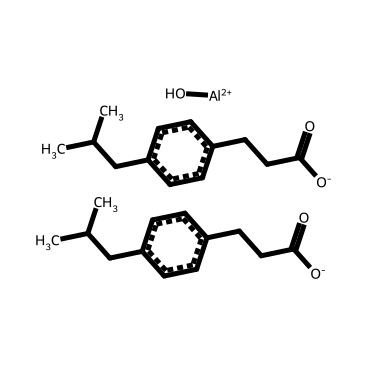 CC(C)Cc1ccc(CCC(=O)[O-])cc1.CC(C)Cc1ccc(CCC(=O)[O-])cc1.[OH][Al+2]